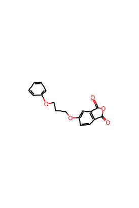 O=C1OC(=O)c2cc(OCCCOc3ccccc3)ccc21